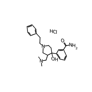 CN(C)CC1CN(CCc2ccccc2)CCC1(O)c1cccc(C(N)=O)c1.Cl